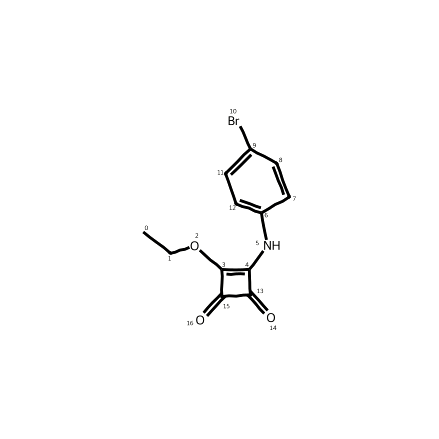 CCOc1c(Nc2ccc(Br)cc2)c(=O)c1=O